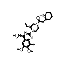 CC[C@H]1CN(C(=O)C[C@@H]2CCCCN2)CCN1c1nc(N)c2cc(OC)c(OC)c(F)c2n1